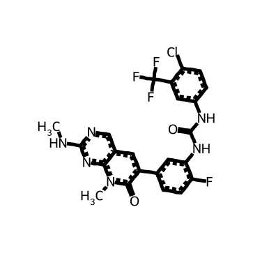 CNc1ncc2cc(-c3ccc(F)c(NC(=O)Nc4ccc(Cl)c(C(F)(F)F)c4)c3)c(=O)n(C)c2n1